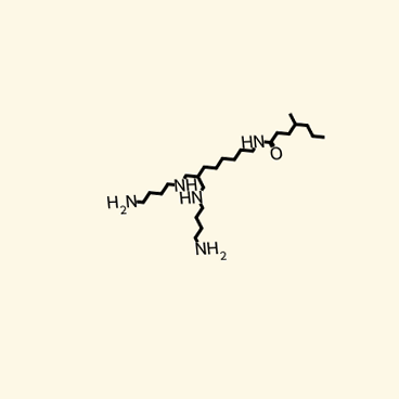 CCCC(C)CCC(=O)NCCCCCCC(CNCCCCN)CNCCCCN